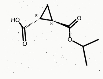 CC(C)OC(=O)[C@@H]1C[C@H]1C(=O)O